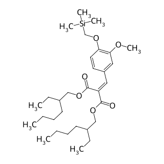 CCCCC(CC)COC(=O)C(=Cc1ccc(OC[Si](C)(C)C)c(OC)c1)C(=O)OCC(CC)CCCC